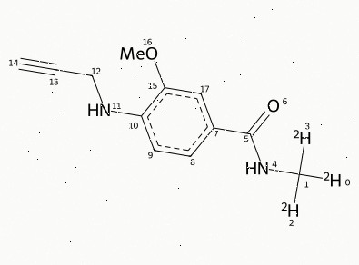 [2H]C([2H])([2H])NC(=O)c1ccc(NCC#C)c(OC)c1